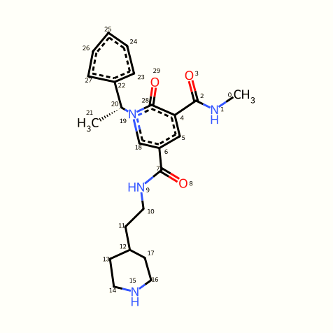 CNC(=O)c1cc(C(=O)NCCC2CCNCC2)cn([C@H](C)c2ccccc2)c1=O